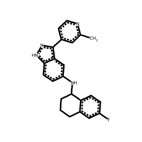 Cc1cc(-c2n[nH]c3ccc(NC4CCCc5cc(F)ccc54)cc23)ccn1